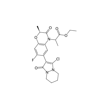 CCOC(=O)C(C)N1C(=O)[C@H](C)Oc2cc(F)c(-c3c(Cl)n4n(c3=O)CCCC4)cc21